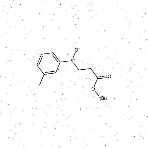 Cc1cccc([S+]([O-])CCC(=O)OC(C)(C)C)c1